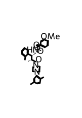 COc1cccc(S(=O)(=O)NC[C@@H](c2ccccc2C)[C@@H](C)C(=O)N2CCN(c3cc(C)ccc3C)CC2)c1